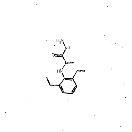 CCc1cccc(CC)c1NC(C)C(=O)NN